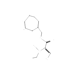 CCN(N)/C(=C\N)C(=O)NCC1CCCCCC1